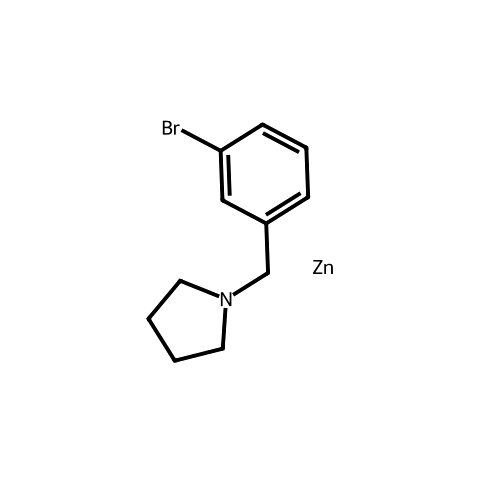 Brc1cccc(CN2CCCC2)c1.[Zn]